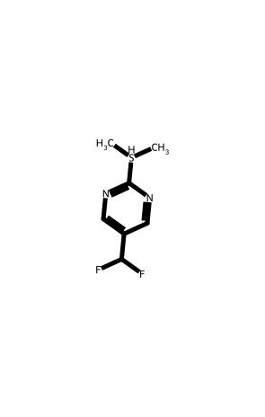 C[SH](C)c1ncc(C(F)F)cn1